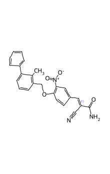 Cc1c(COc2ccc(/C=C(\C#N)C(N)=O)cc2[N+](=O)[O-])cccc1-c1ccccc1